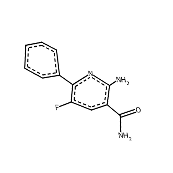 NC(=O)c1cc(F)c(-c2ccccc2)nc1N